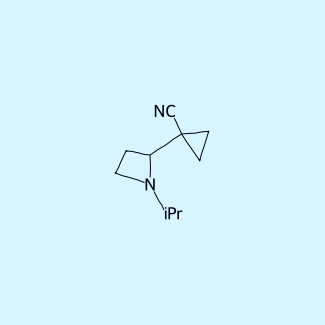 CC(C)N1CCC1C1(C#N)CC1